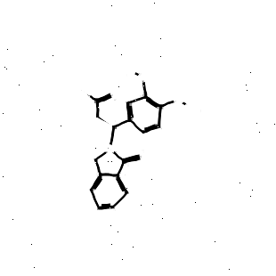 COc1ccc([C@H](CC(N)=O)N2Cc3ccccc3C2=O)cc1OC